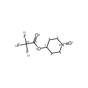 O=C(OC1CC[N+](=O)CC1)C(F)(F)F